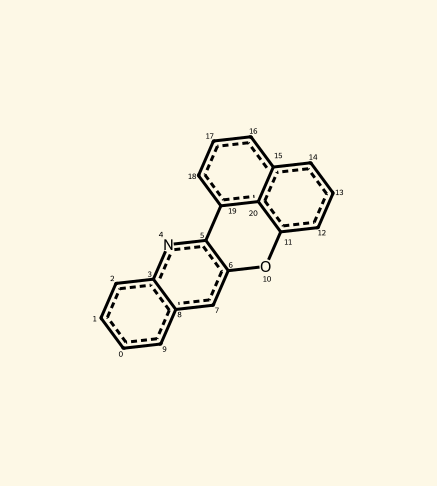 c1ccc2nc3c(cc2c1)Oc1cccc2cccc-3c12